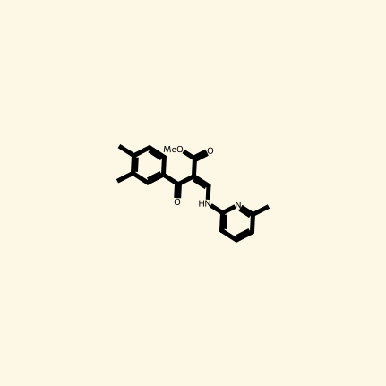 COC(=O)C(=CNc1cccc(C)n1)C(=O)c1ccc(C)c(C)c1